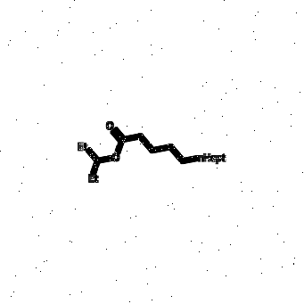 CCCCCCCCCCCC(=O)OC(CC)CC